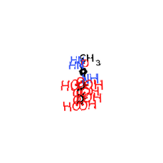 CNC(=O)Nc1ccc(NC2OC(O)C(OC3OC(O)C(O)C(O)C3O)CC2O)cc1